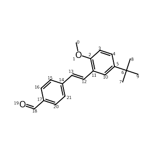 COc1ccc(C(C)(C)C)cc1C=Cc1ccc(C=O)cc1